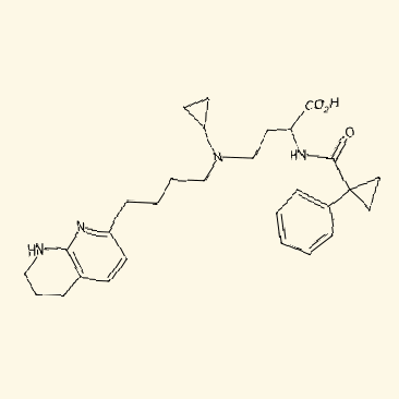 O=C(O)C(CCN(CCCCc1ccc2c(n1)NCCC2)C1CC1)NC(=O)C1(c2ccccc2)CC1